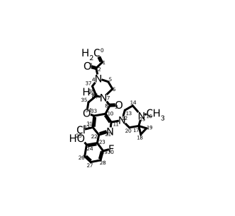 C=CC(=O)N1CCN2C(=O)c3c(N4CCN(C)C5(CC5)C4)nc(-c4c(O)cccc4F)c(Cl)c3OC[C@H]2C1